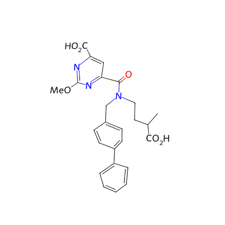 COc1nc(C(=O)O)cc(C(=O)N(CCC(C)C(=O)O)Cc2ccc(-c3ccccc3)cc2)n1